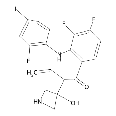 C=CC(C(=O)c1ccc(F)c(F)c1Nc1ccc(I)cc1F)C1(O)CNC1